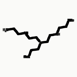 CNCCNCCN(CCNC)CCNCCN